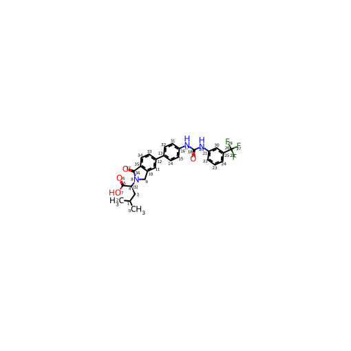 CC(C)C[C@@H](C(=O)O)N1Cc2cc(-c3ccc(NC(=O)Nc4cccc(C(F)(F)F)c4)cc3)ccc2C1=O